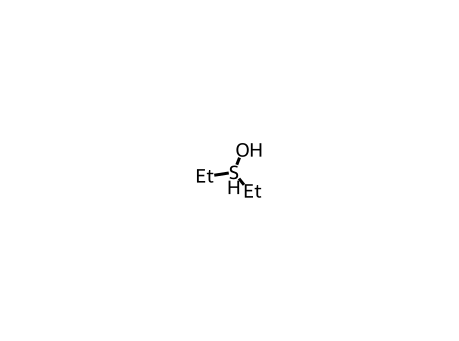 CC[SH](O)CC